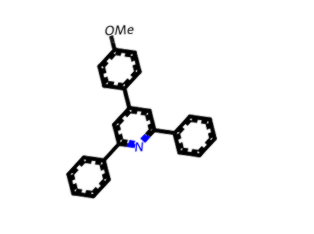 COc1ccc(-c2cc(-c3ccccc3)nc(-c3ccccc3)c2)cc1